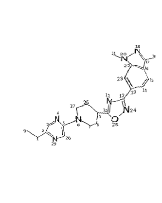 CCc1cnc(N2CCC(c3nc(-c4ccc5c(C)nn(C)c5c4)no3)CC2)cn1